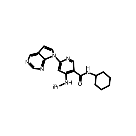 CC(C)Nc1cc(-n2ccc3cncnc32)ncc1C(=O)NC1CCCCC1